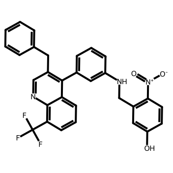 O=[N+]([O-])c1ccc(O)cc1CNc1cccc(-c2c(Cc3ccccc3)cnc3c(C(F)(F)F)cccc23)c1